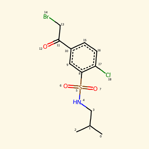 CC(C)CNS(=O)(=O)c1cc(C(=O)CBr)ccc1Cl